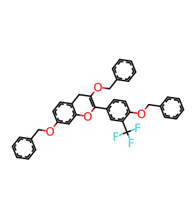 FC(F)(F)c1cc(C2=C(OCc3ccccc3)Cc3ccc(OCc4ccccc4)cc3O2)ccc1OCc1ccccc1